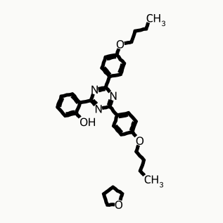 C1CCOC1.CCCCOc1ccc(-c2nc(-c3ccc(OCCCC)cc3)nc(-c3ccccc3O)n2)cc1